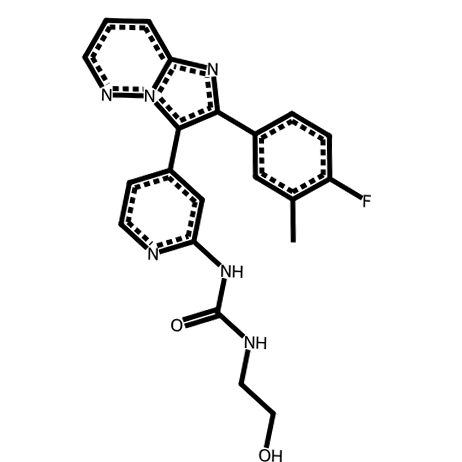 Cc1cc(-c2nc3cccnn3c2-c2ccnc(NC(=O)NCCO)c2)ccc1F